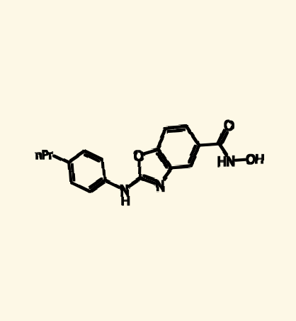 CCCc1ccc(Nc2nc3cc(C(=O)NO)ccc3o2)cc1